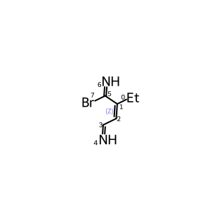 CC/C(=C/C=N)C(=N)Br